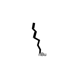 C=C/C=[C]/CCCCCCC